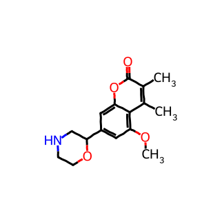 COc1cc(C2CNCCO2)cc2oc(=O)c(C)c(C)c12